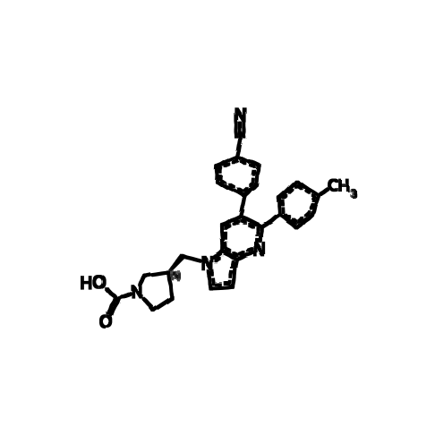 Cc1ccc(-c2nc3ccn(C[C@H]4CCN(C(=O)O)C4)c3cc2-c2ccc(C#N)cc2)cc1